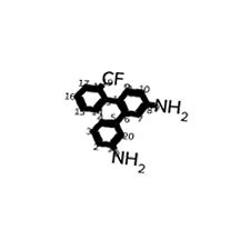 Nc1cccc(-c2cc(N)ccc2-c2ccccc2C(F)(F)F)c1